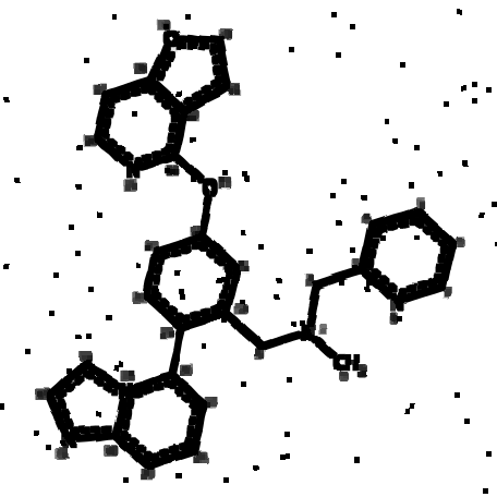 CN(Cc1ccccn1)Cc1cc(Oc2nccc3occc23)ccc1-c1cccc2nccn12